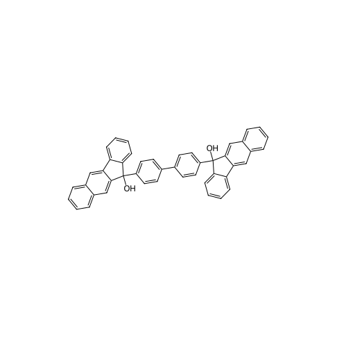 OC1(c2ccc(-c3ccc(C4(O)c5ccccc5-c5cc6ccccc6cc54)cc3)cc2)c2ccccc2-c2cc3ccccc3cc21